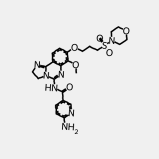 COc1c(OCCCS(=O)(=O)N2CCOCC2)ccc2c1N=C(NC(=O)c1ccc(N)nc1)N1CCN=C21